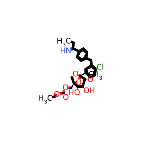 CCOC(=O)OC[C@@]12CO[C@@](c3ccc(Cl)c(Cc4ccc(C(=N)CC)cc4)c3)(O1)[C@H](OC)[C@@H](O)[C@@H]2O